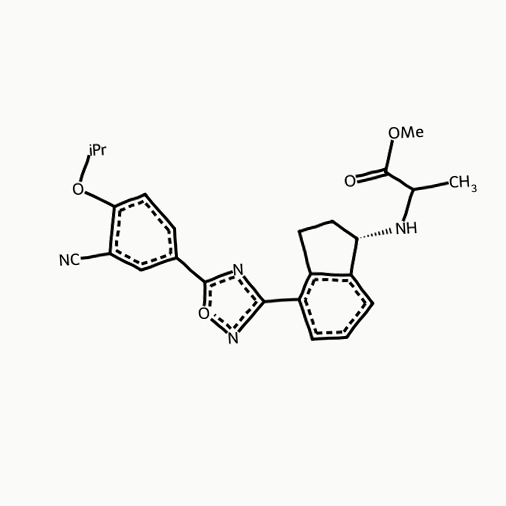 COC(=O)C(C)N[C@H]1CCc2c(-c3noc(-c4ccc(OC(C)C)c(C#N)c4)n3)cccc21